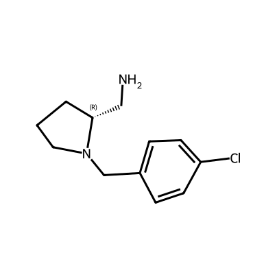 NC[C@H]1CCCN1Cc1ccc(Cl)cc1